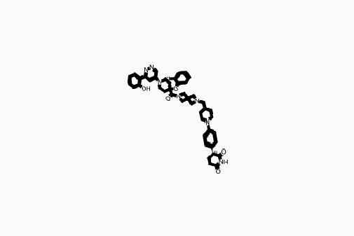 O=C1CC[C@H](c2ccc(N3CCC(CN4CC5(C4)CN(C(=O)C4(Oc6ccccc6Cl)CCN(c6cnnc(-c7ccccc7O)c6)CC4)C5)CC3)cc2)C(=O)N1